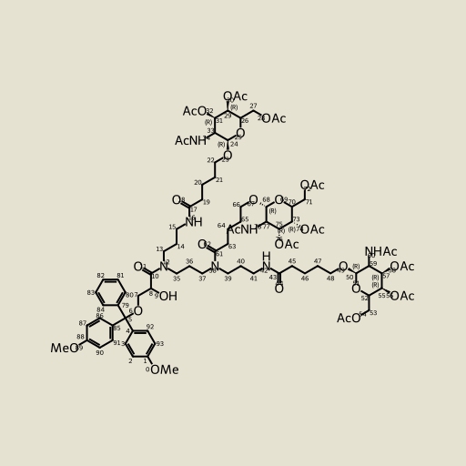 COc1ccc(C(OCC(O)C(=O)N(CCCNC(=O)CCCCO[C@@H]2OC(COC(C)=O)[C@H](OC(C)=O)[C@H](OC(C)=O)C2NC(C)=O)CCCN(CCCNC(=O)CCCCO[C@@H]2OC(COC(C)=O)[C@H](OC(C)=O)[C@H](OC(C)=O)C2NC(C)=O)C(=O)CCCCO[C@@H]2OC(COC(C)=O)[C@H](OC(C)=O)[C@H](OC(C)=O)C2NC(C)=O)(c2ccccc2)c2ccc(OC)cc2)cc1